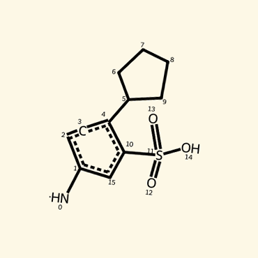 [NH]c1ccc(C2CCCC2)c(S(=O)(=O)O)c1